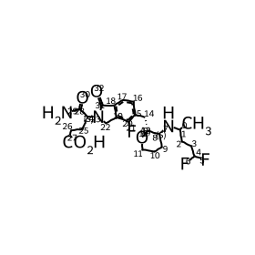 CC(CCC(F)F)N[C@H]1CCCO[C@@H]1Cc1ccc2c(c1F)CN([C@@H](CCC(=O)O)C(N)=O)C2=O